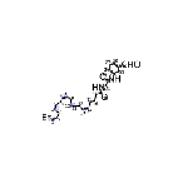 CC/C=C\C/C=C\C/C=C\C/C=C\C/C=C\CCCC(=O)NCC(=O)Nc1cccc(C=O)c1